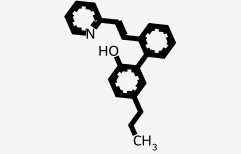 CCCc1ccc(O)c(-c2ccccc2C=Cc2ccccn2)c1